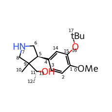 COc1ccc([C@@H]2CNCC2(C)[C@@H](C)O)cc1OC(C)(C)C